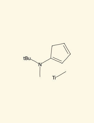 CN(C1=CC=CC1)C(C)(C)C.[CH3][Ti]